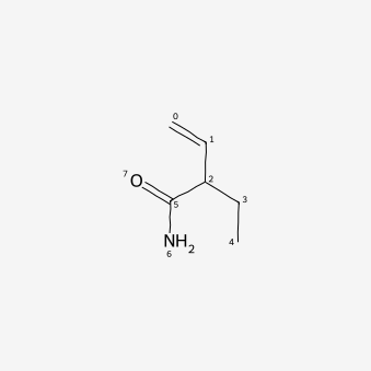 C=CC(CC)C(N)=O